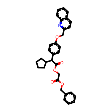 O=C(COC(=O)C(c1ccc(OCc2ccc3ccccc3n2)cc1)C1CCCC1)OCc1ccccc1